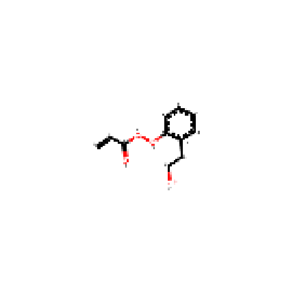 C=CC(=O)OOc1ccccc1CCO